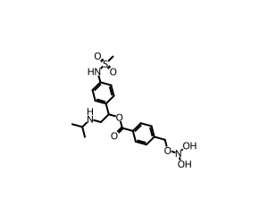 CC(C)NCC(OC(=O)c1ccc(CON(O)O)cc1)c1ccc(NS(C)(=O)=O)cc1